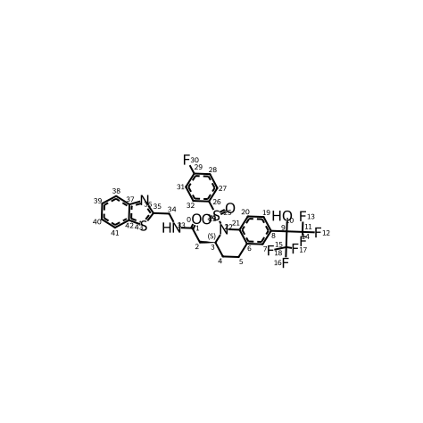 O=C(C[C@@H]1CCc2cc(C(O)(C(F)(F)F)C(F)(F)F)ccc2N1S(=O)(=O)c1ccc(F)cc1)NCc1nc2ccccc2s1